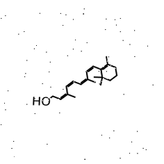 CC1=C(\C=C/C(C)=C\C=C/C(C)=C\CO)C(C)(C)CCC1